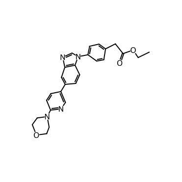 CCOC(=O)Cc1ccc(-n2cnc3cc(-c4ccc(N5CCOCC5)nc4)ccc32)cc1